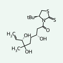 C=C[C@H](O)C(C)(O)CC[C@@H](O)CC(=O)N1C(=S)SC[C@@H]1C(C)(C)C